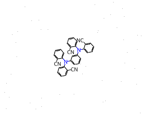 N#Cc1ccccc1N(c1cccc(N(c2ccccc2C#N)c2ccccc2C#N)c1)c1ccccc1C#N